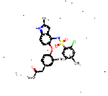 COC(=O)Cc1ccc(Oc2ccc3[nH]c(C)cc3c2NS(=O)(=O)c2ccc(C)cc2Cl)c(OC)c1